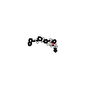 CC1(CNC(=O)[C@H]2[C@@H]3CC[C@@H](C3)[C@H]2NC(=O)c2cc(O[C@H]3CC[C@@](C)(C(=O)OCc4cccc5ccccc45)CC3)c(F)cc2Cl)CCC1